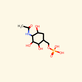 CC(=O)NC1C(O)CC(COP(=O)(O)O)C(O)C1O